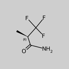 C[C@H](C(N)=O)C(F)(F)F